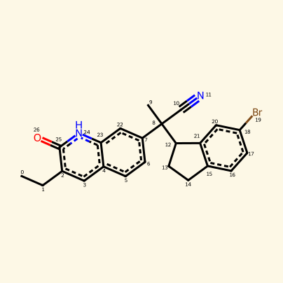 CCc1cc2ccc(C(C)(C#N)C3CCc4ccc(Br)cc43)cc2[nH]c1=O